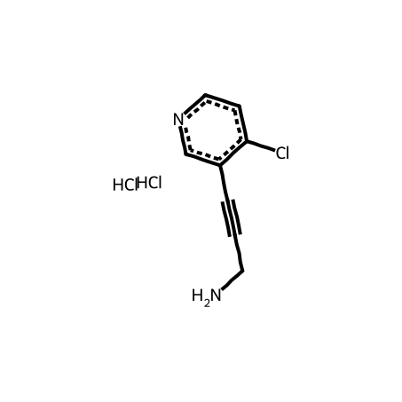 Cl.Cl.NCC#Cc1cnccc1Cl